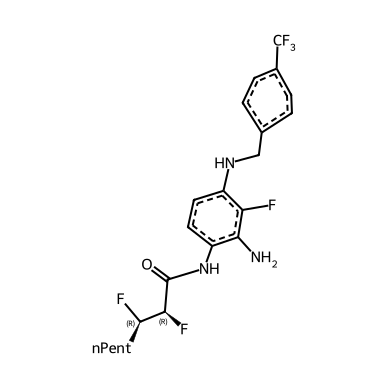 CCCCC[C@@H](F)[C@H](F)C(=O)Nc1ccc(NCc2ccc(C(F)(F)F)cc2)c(F)c1N